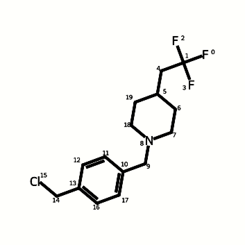 FC(F)(F)CC1CCN(Cc2ccc(CCl)cc2)CC1